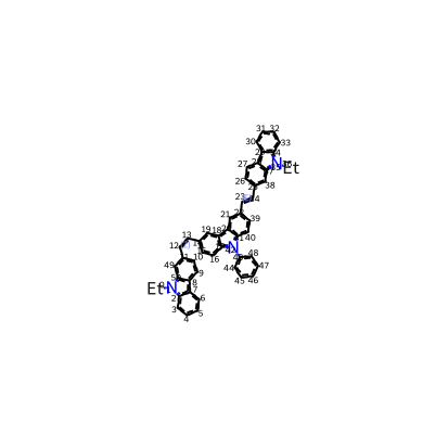 CCn1c2ccccc2c2ccc(/C=C\c3ccc4c(c3)c3cc(/C=C/c5ccc6c7ccccc7n(CC)c6c5)ccc3n4-c3ccccc3)cc21